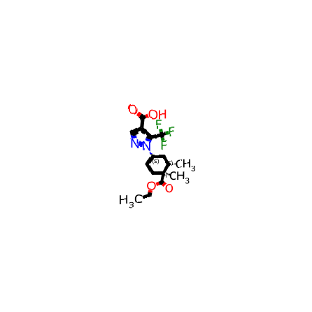 CCOC(=O)[C@@]1(C)CC[C@H](n2ncc(C(=O)O)c2C(F)(F)F)C[C@@H]1C